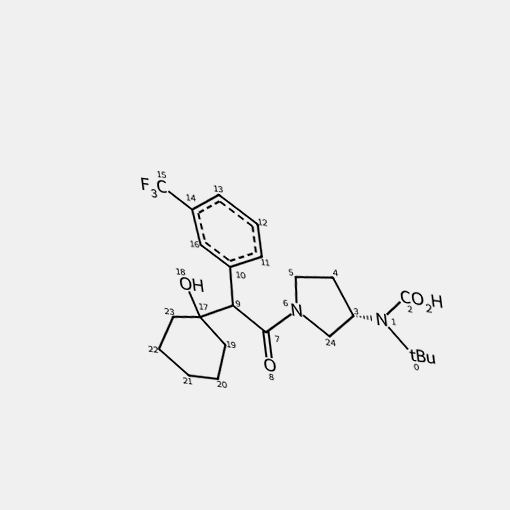 CC(C)(C)N(C(=O)O)[C@H]1CCN(C(=O)C(c2cccc(C(F)(F)F)c2)C2(O)CCCCC2)C1